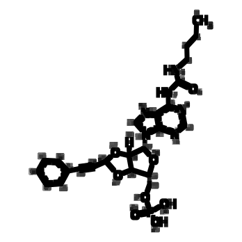 CCCCNC(=O)Nc1ncnc2c1ncn2[C@@H]1O[C@H](COP(=O)(O)O)C2OC(C#Cc3ccccc3)O[C@@H]21